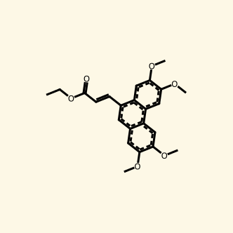 CCOC(=O)/C=C/c1cc2cc(OC)c(OC)cc2c2cc(OC)c(OC)cc12